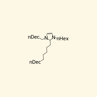 CCCCCCCCCCCCCCCC1N(CCCCCC)C=CN1CCCCCCCCCCC